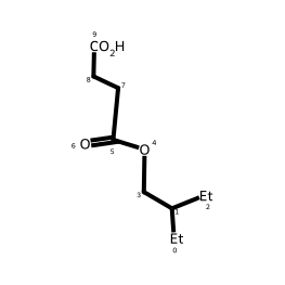 CCC(CC)COC(=O)CCC(=O)O